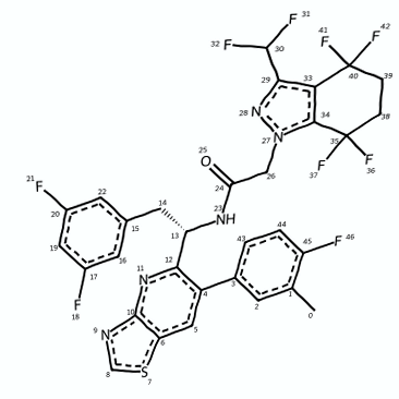 Cc1cc(-c2cc3scnc3nc2[C@H](Cc2cc(F)cc(F)c2)NC(=O)Cn2nc(C(F)F)c3c2C(F)(F)CCC3(F)F)ccc1F